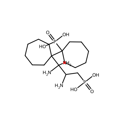 NC(CP(=O)(O)O)C(N)(N)C1(C2(P(=O)(O)O)CCCCCC2)CCCCCC1